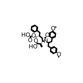 C=C(C(=O)O)[C@@H]1[C@H]([C@H](COC(=O)O)Cc2ccccc2)C(=O)N1C(Cc1ccc(OC)cc1)Cc1ccc(OC)cc1